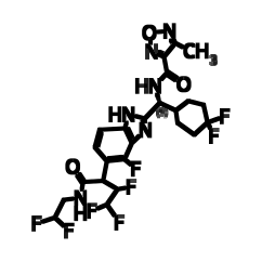 Cc1nonc1C(=O)N[C@H](c1nc2c(F)c(C(C(=O)NCC(F)F)C(F)C(F)F)ccc2[nH]1)C1CCC(F)(F)CC1